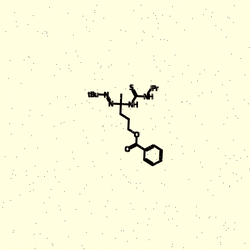 CC(C)NC(=S)NC(C)(CCCOC(=O)c1ccccc1)/N=N/C(C)(C)C